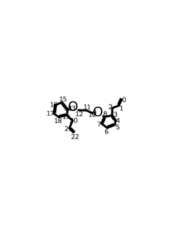 C=CCc1ccccc1OCCCOc1ccccc1CC=C